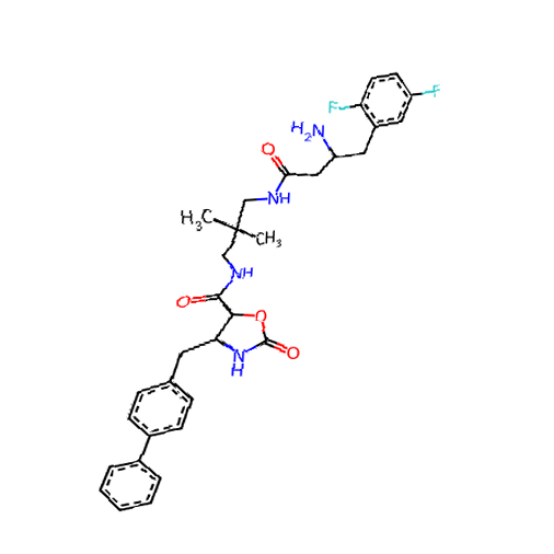 CC(C)(CNC(=O)CC(N)Cc1cc(F)ccc1F)CNC(=O)C1OC(=O)NC1Cc1ccc(-c2ccccc2)cc1